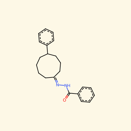 O=C(N/N=C1/CCCCC(c2ccccc2)CCC1)c1ccccc1